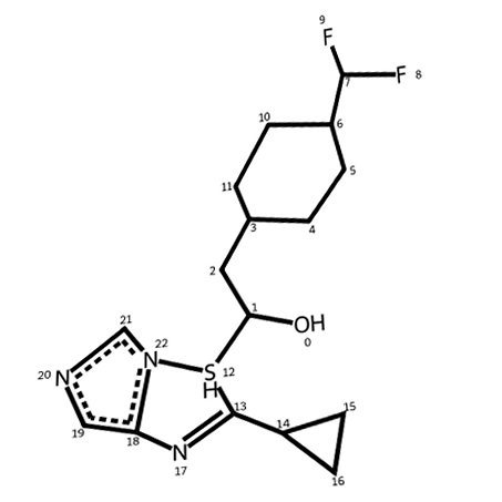 OC(CC1CCC(C(F)F)CC1)[SH]1C(C2CC2)=Nc2cncn21